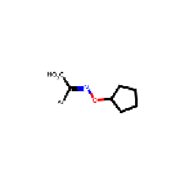 CC(=O)/C(=N\OC1CCCC1)C(=O)O